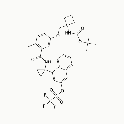 Cc1ccc(OCC2(NC(=O)OC(C)(C)C)CCC2)cc1C(=O)NC1(c2cc(OS(=O)(=O)C(F)(F)F)cc3ncccc23)CC1